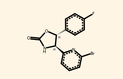 O=C1N[C@H](c2cccc(Br)n2)[C@@H](c2ccc(F)cc2)O1